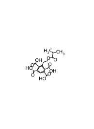 C=C(C)C(=O)OCCc1c(C(=O)O)c(C(=O)O)cc(C(=O)O)c1C(=O)O